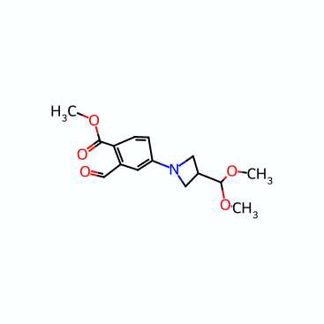 COC(=O)c1ccc(N2CC(C(OC)OC)C2)cc1C=O